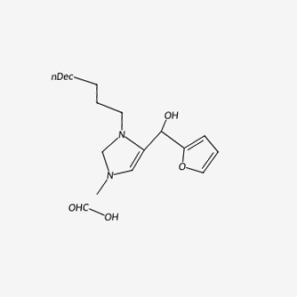 CCCCCCCCCCCCCN1CN(C)C=C1C(O)c1ccco1.O=CO